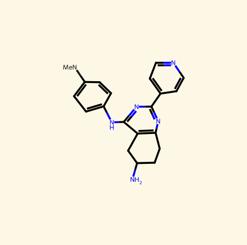 CNc1ccc(Nc2nc(-c3ccncc3)nc3c2CC(N)CC3)cc1